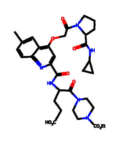 CCOC(=O)N1CCN(C(=O)C(CCC(=O)O)NC(=O)c2cc(OCC(=O)N3CCCC3C(=O)NC3CC3)c3cc(C)ccc3n2)CC1